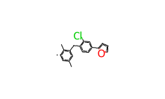 Cc1c[c]c(C)c(Cc2ccc(-c3ccco3)cc2Cl)c1